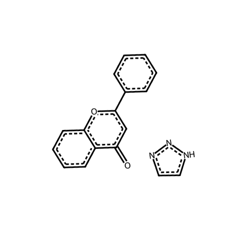 O=c1cc(-c2ccccc2)oc2ccccc12.c1c[nH]nn1